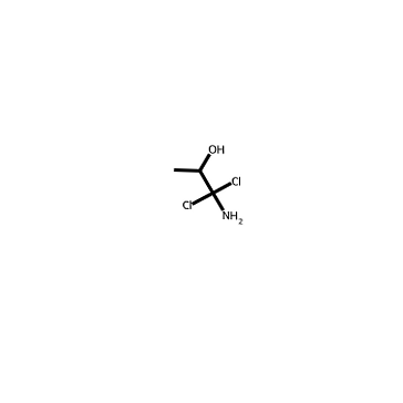 CC(O)C(N)(Cl)Cl